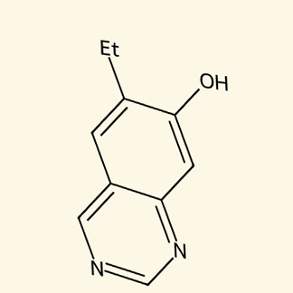 CCc1cc2cncnc2cc1O